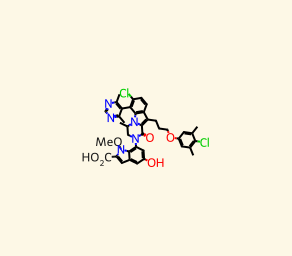 COn1c(C(=O)O)cc2cc(O)cc(N3CC(C)n4c(c(CCCOc5cc(C)c(Cl)c(C)c5)c5ccc(Cl)c(-c6c(C)ncnc6C)c54)C3=O)c21